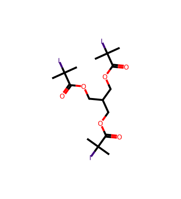 CC(C)(I)C(=O)OCC(COC(=O)C(C)(C)I)COC(=O)C(C)(C)I